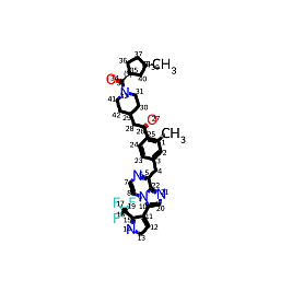 Cc1cc(Cc2nccn3c(C4=CCN=C4C(F)(F)F)cnc23)ccc1C(=O)CC1CCN(C(=O)[C@H]2CC[C@H](C)C2)CC1